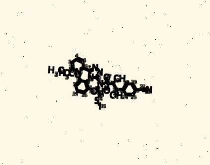 COc1cc#cc(-c2nnc(N(CCSI)S(=O)(=O)[C@@H](C)[C@H](O)c3ccc(C#N)cc3)n2-c2c(O)cccc2OC)n1